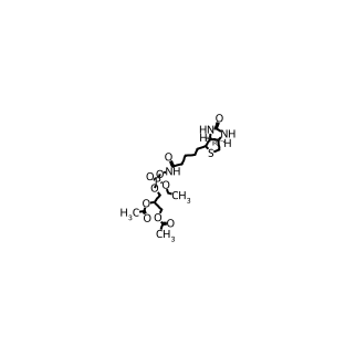 CCOP(=O)(OCC(COC(C)=O)OC(C)=O)ONC(=O)CCCCC1SC[C@@H]2NC(=O)N[C@H]12